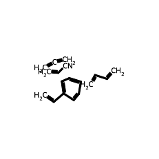 C=C=C.C=CC#N.C=CC=C.C=Cc1ccccc1